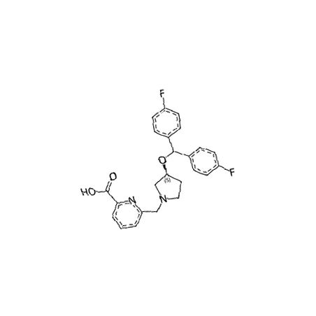 O=C(O)c1cccc(CN2CC[C@H](OC(c3ccc(F)cc3)c3ccc(F)cc3)C2)n1